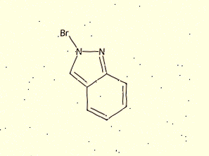 Brn1cc2ccccc2n1